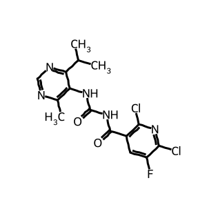 Cc1ncnc(C(C)C)c1NC(=O)NC(=O)c1cc(F)c(Cl)nc1Cl